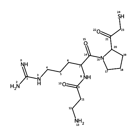 N=C(N)NCCCC(NC(=O)CCN)C(=O)N1CCCC1C(=O)CS